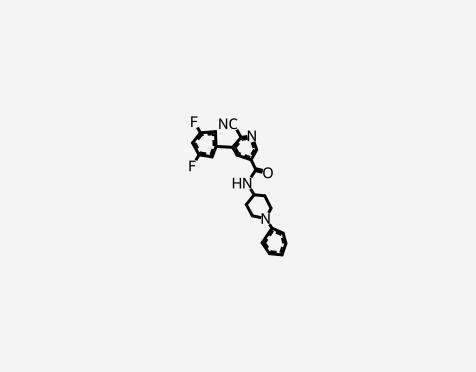 N#Cc1ncc(C(=O)NC2CCN(c3ccccc3)CC2)cc1-c1cc(F)cc(F)c1